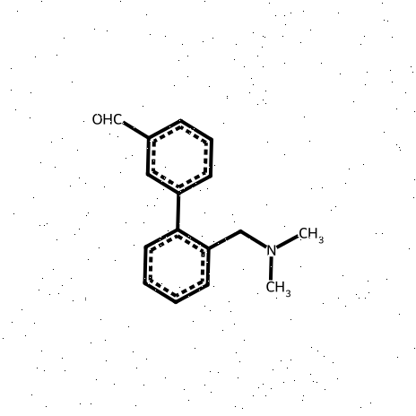 CN(C)Cc1ccccc1-c1cccc(C=O)c1